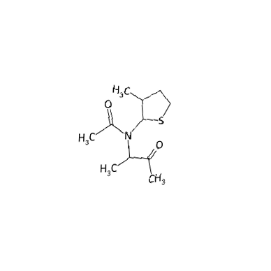 CC(=O)C(C)N(C(C)=O)C1SCCC1C